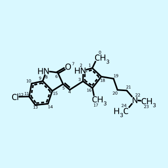 Cc1[nH]c(C=C2C(=O)Nc3cc(Cl)ccc32)c(C)c1CCCN(C)C